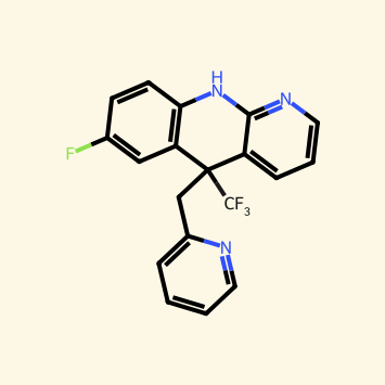 Fc1ccc2c(c1)C(Cc1ccccn1)(C(F)(F)F)c1cccnc1N2